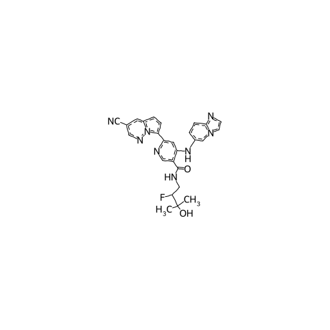 CC(C)(O)C(F)CNC(=O)c1cnc(-c2ccc3cc(C#N)cnn23)cc1Nc1ccc2nccn2c1